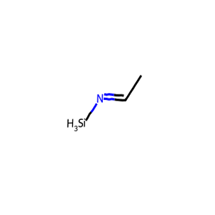 CC=N[SiH3]